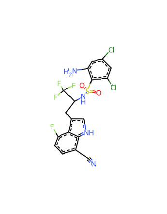 N#Cc1ccc(F)c2c(CC(NS(=O)(=O)c3c(N)cc(Cl)cc3Cl)C(F)(F)F)c[nH]c12